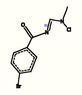 CN(Cl)/C=N/C(=O)c1ccc(Br)cc1